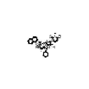 C[C@H](NP(=O)(OC[C@H]1O[C@@H](n2ccc(=O)[nH]c2=S)[C@](C)(O)C1O)Oc1cccc2ccccc12)C(=O)OC1CCCCC1